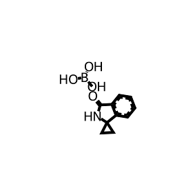 O=C1NC2(CC2)c2ccccc21.OB(O)O